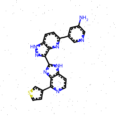 Nc1cncc(-c2ccc3[nH]nc(-c4nc5c(-c6ccsc6)nccc5[nH]4)c3n2)c1